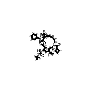 CC(C)(C)OC(=O)Nc1cc(C(F)(F)F)c2nc1-c1nnc(o1)C(OCc1ccccc1)(C(F)(F)F)CC=CCCN(C(=O)C1CCC1)C2